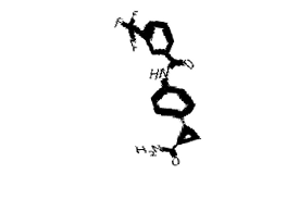 NC(=O)[C@@H]1C[C@H]1c1ccc(NC(=O)c2cccc(C(F)(F)F)c2)cc1